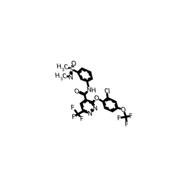 CN=S(C)(=O)c1cccc(NC(=O)c2cc(C(F)(F)F)nnc2Oc2ccc(OC(F)(F)F)cc2Cl)c1